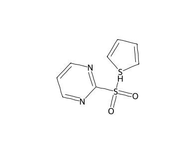 O=S(=O)(c1ncccn1)[SH]1C=CC=C1